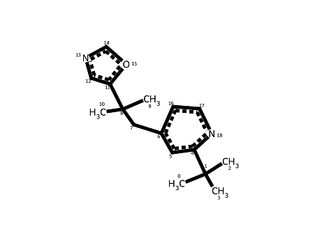 CC(C)(C)c1cc(CC(C)(C)c2cnco2)ccn1